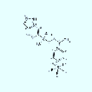 CC(CCC(C)(C)c1ccc2cn[nH]c2c1)c1ccc(S(F)(F)(F)(F)F)cc1